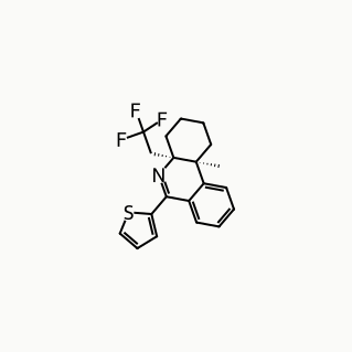 C[C@@]12CCCC[C@]1(CC(F)(F)F)N=C(c1cccs1)c1ccccc12